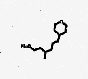 COCCN(C)CCCN1CCOCC1